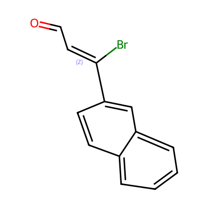 O=C/C=C(\Br)c1ccc2ccccc2c1